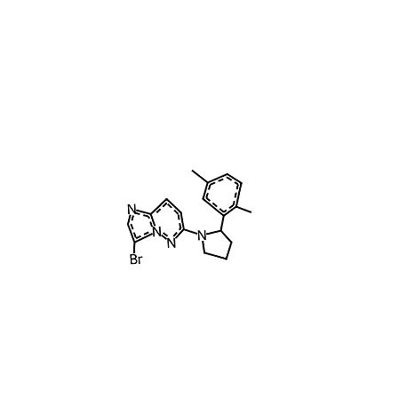 Cc1ccc(C)c(C2CCCN2c2ccc3ncc(Br)n3n2)c1